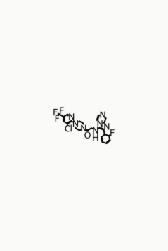 O=C(CNc1c(C2C=CC=CC2F)nc2cnccn12)N1CCN(c2ncc(C(F)(F)F)cc2Cl)CC1